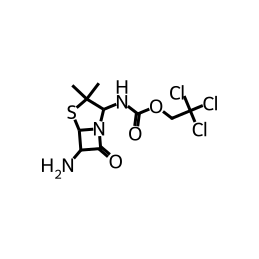 CC1(C)SC2C(N)C(=O)N2C1NC(=O)OCC(Cl)(Cl)Cl